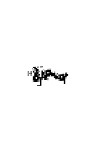 O=C1c2cc(OCc3nc4cc(F)c(F)cc4s3)ccc2OCC1Cc1cc(NS(=O)(=O)C(F)(F)F)ccc1Cl